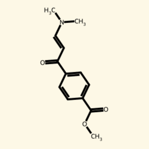 COC(=O)c1ccc(C(=O)/C=C/N(C)C)cc1